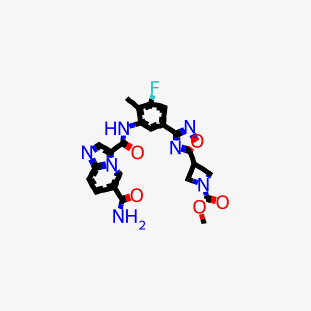 COC(=O)N1CC(c2nc(-c3cc(F)c(C)c(NC(=O)c4cnc5ccc(C(N)=O)cn45)c3)no2)C1